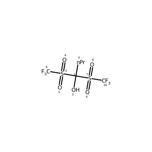 CCCC(O)(S(=O)(=O)C(F)(F)F)S(=O)(=O)C(F)(F)F